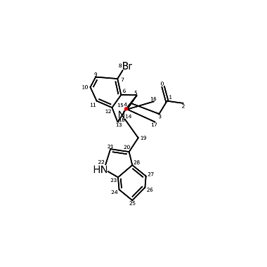 C=C(C)CC1C2c3c(Br)cccc3C(CC2(C)C)N1Cc1c[nH]c2ccccc12